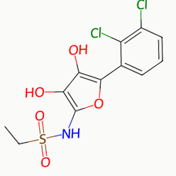 CCS(=O)(=O)Nc1oc(-c2cccc(Cl)c2Cl)c(O)c1O